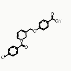 O=C(O)c1ccc(OCC2=CC=CN(C(=O)c3ccc(Cl)cc3)C2)cc1